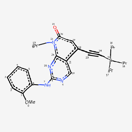 COc1ccccc1Nc1ncc2c(C#C[Si](C(C)C)(C(C)C)C(C)C)cc(=O)n(C(C)C)c2n1